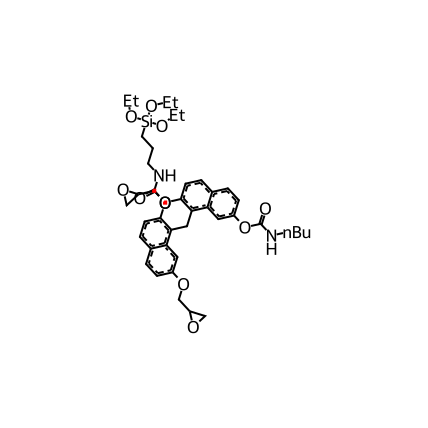 CCCCNC(=O)Oc1ccc2ccc(OCC3CO3)c(Cc3c(OC(=O)NCCC[Si](OCC)(OCC)OCC)ccc4ccc(OCC5CO5)cc34)c2c1